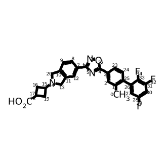 Cc1cc(-c2nc(-c3ccc4c(c3)CN(C3CC(C(=O)O)C3)C4)no2)ccc1-c1cc(F)cc(F)c1F